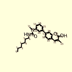 CCCCCCCNC(=O)N(C)c1cccc(-c2ccc(/C=C(/C)C(=O)O)cc2)c1